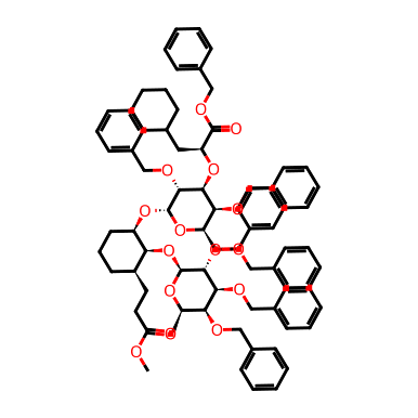 COC(=O)CC[C@H]1CCC[C@@H](O[C@H]2O[C@H](COCc3ccccc3)[C@H](OCc3ccccc3)[C@H](O[C@@H](CC3CCCCC3)C(=O)OCc3ccccc3)[C@H]2OCc2ccccc2)[C@H]1O[C@@H]1O[C@H](C)[C@H](OCc2ccccc2)[C@H](OCc2ccccc2)[C@H]1OCc1ccccc1